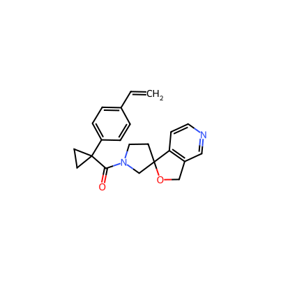 C=Cc1ccc(C2(C(=O)N3CCC4(C3)OCc3cnccc34)CC2)cc1